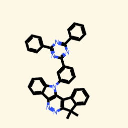 CC1(C)c2ccccc2-c2c1nnc1c3ccccc3n(-c3cccc(-c4nc(-c5ccccc5)nc(-c5ccccc5)n4)c3)c21